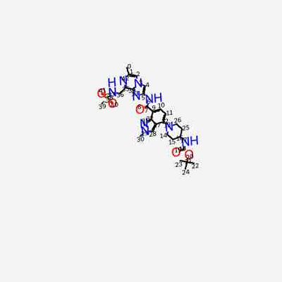 Cc1cn2cc(NC(=O)c3ccc(N4CCC(NC(=O)OC(C)(C)C)CC4)c4cn(C)nc34)nc2c(CNS(C)(=O)=O)n1